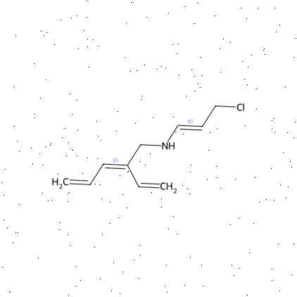 C=C/C=C(\C=C)CN/C=C/CCl